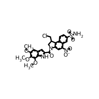 COc1cc2cc(C(=O)N3CC(CCl)c4c3cc([N+](=O)[O-])c3cc(S(N)(=O)=O)ccc43)[nH]c2c(OC)c1OC